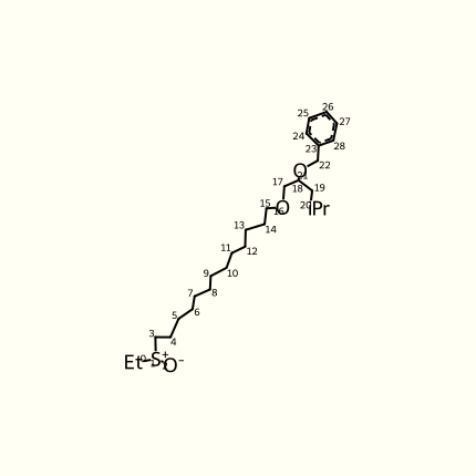 CC[S+]([O-])CCCCCCCCCCCCCOCC(CC(C)C)OCc1ccccc1